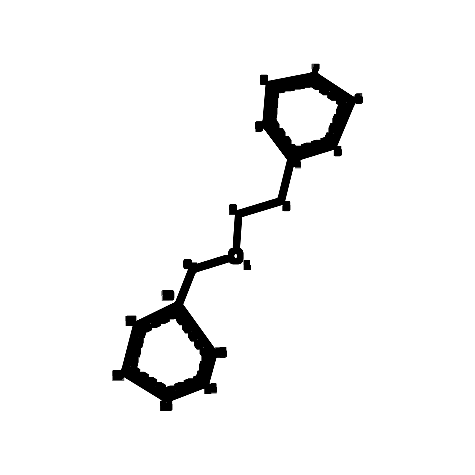 [C](OCCc1ccccc1)c1ccccc1